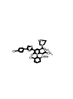 COc1cccc(Cl)c1-n1c(C=C(C)C)c(C(=O)N2CCNCC2)cc(-c2nc(-c3ccc(Cl)cc3)cs2)c1=O